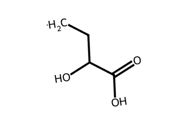 [CH2]CC(O)C(=O)O